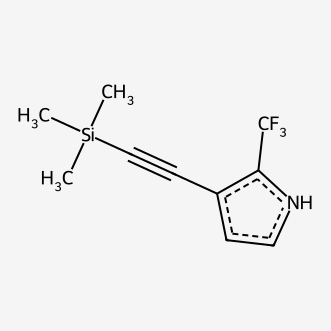 C[Si](C)(C)C#Cc1cc[nH]c1C(F)(F)F